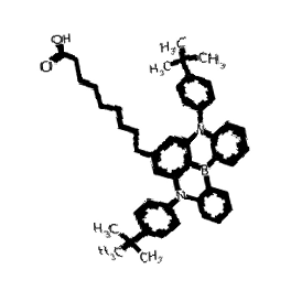 CC(C)(C)c1ccc(N2c3ccccc3B3c4ccccc4N(c4ccc(C(C)(C)C)cc4)c4cc(CCCCCCCCC(=O)O)cc2c43)cc1